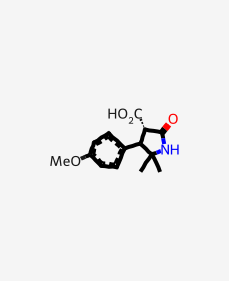 COc1ccc(C2[C@H](C(=O)O)C(=O)NC2(C)C)cc1